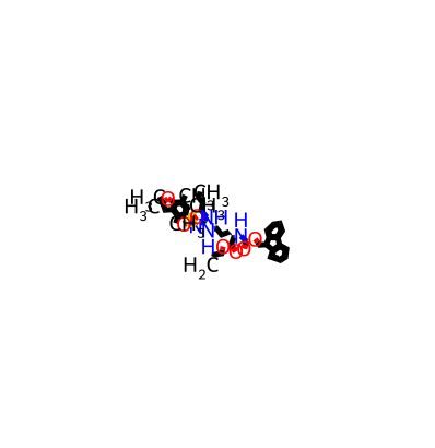 C=CCOC(=O)[C@H](CCCN/C(=N/S(=O)(=O)c1c(C)c(C)c2c(c1C)CC(C)(C)O2)NCCCC)NC(=O)OCC1c2ccccc2-c2ccccc21